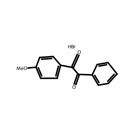 Br.COc1ccc(C(=O)C(=O)c2ccccc2)cc1